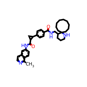 Cc1nccc2cc(NC(=O)C3CC3c3ccc(C(=O)NCC4CCCNC45CCCCCCCCC5)cc3)ccc12